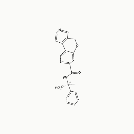 C[C@@](NC(=O)c1ccc2c(c1)OCc1cnccc1-2)(C(=O)O)c1ccccc1